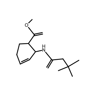 C=C(CC(C)(C)C)NC1C=CCCC1C(=C)OC